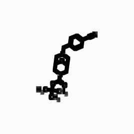 CC(C)(C)OC(=O)N1CC2CN(Cc3ccc(C#N)cc3)CC(C1)O2